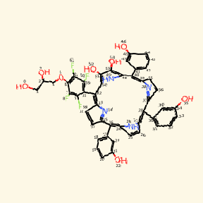 OCC(O)COc1c(F)c(F)c(-c2c3nc(c(-c4cccc(O)c4)c4ccc([nH]4)c(-c4cccc(O)c4)c4nc(c(-c5cccc(O)c5)c5[nH]c2c(O)c5O)CC4)C=C3)c(F)c1F